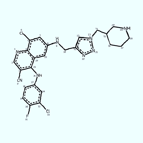 N#Cc1cnc2c(Cl)cc(NCc3cn(CC4CCCNC4)nn3)cc2c1Nc1ccc(F)c(Cl)c1